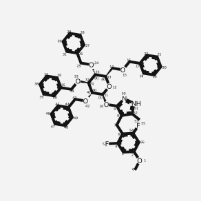 COc1cc(F)c(Cc2c(O[C@@H]3O[C@H](COCc4ccccc4)[C@@H](OCc4ccccc4)[C@H](OCc4ccccc4)[C@H]3OCc3ccccc3)n[nH]c2C)c(F)c1